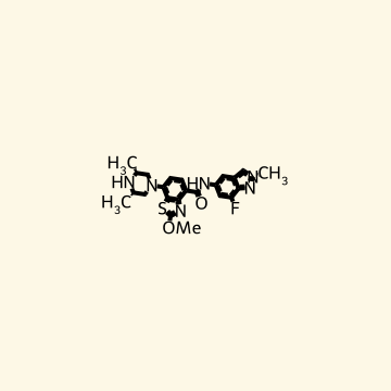 COc1nc2c(C(=O)Nc3cc(F)c4nn(C)cc4c3)ccc(N3C[C@H](C)N[C@@H](C)C3)c2s1